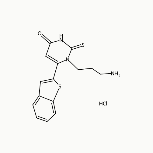 Cl.NCCCn1c(-c2cc3ccccc3s2)cc(=O)[nH]c1=S